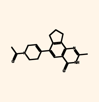 CC(=O)N1CC=C(c2cc3c(=O)[nH]c(C)nc3c3c2CCC3)CC1